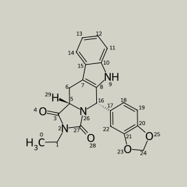 CCN1C(=O)[C@@H]2Cc3c([nH]c4ccccc34)[C@H](c3ccc4c(c3)OCO4)N2C1=O